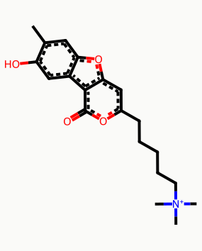 Cc1cc2oc3cc(CCCCC[N+](C)(C)C)oc(=O)c3c2cc1O